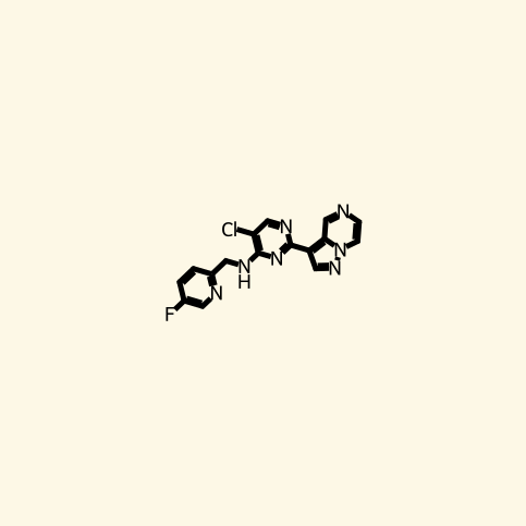 Fc1ccc(CNc2nc(-c3cnn4ccncc34)ncc2Cl)nc1